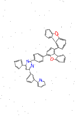 c1ccc(-c2cc(-c3cccc(-c4ccccn4)c3)nc(-c3ccc(-c4ccc(-c5cccc6oc7ccccc7c56)c5c4oc4ccccc45)cc3)n2)cc1